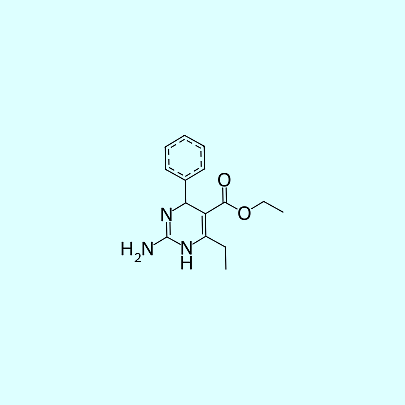 CCOC(=O)C1=C(CC)NC(N)=NC1c1ccccc1